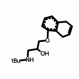 CC(C)(C)NCC(O)COc1cccc2c1CC=CC2